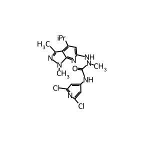 Cc1nn(C)c2nc(NN(C)C(=O)Nc3cc(Cl)nc(Cl)c3)cc(C(C)C)c12